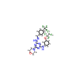 FC(F)C(F)(F)Oc1cccc(Nc2nc(N/N=C/c3ccc(C(F)(F)F)cc3)nc(N3CCOCC3)n2)c1